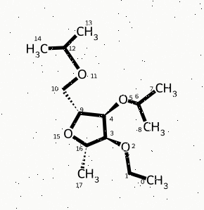 CCO[C@@H]1[C@H](OC(C)C)[C@@H](COC(C)C)O[C@H]1C